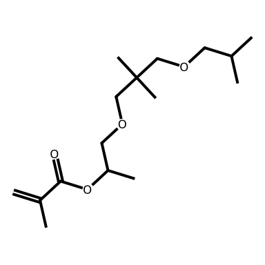 C=C(C)C(=O)OC(C)COCC(C)(C)COCC(C)C